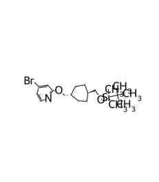 CC(C)(C)[Si](C)(C)OC[C@H]1CC[C@H](COc2cc(Br)ccn2)CC1